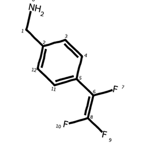 NCc1ccc(C(F)=C(F)F)cc1